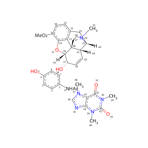 CC(=O)Nc1ccc(O)cc1.COc1ccc2c3c1O[C@H]1[C@@H](O)C=C[C@H]4[C@@H](C2)N(C)CC[C@@]341.Cn1c(=O)c2c(ncn2C)n(C)c1=O